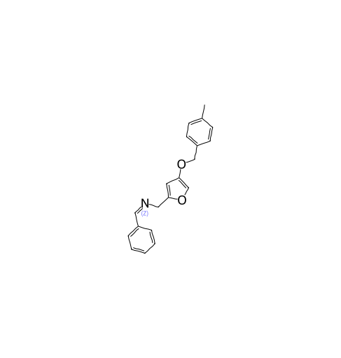 Cc1ccc(COc2coc(C/N=C\c3ccccc3)c2)cc1